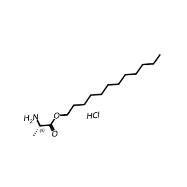 CCCCCCCCCCCCOC(=O)[C@H](C)N.Cl